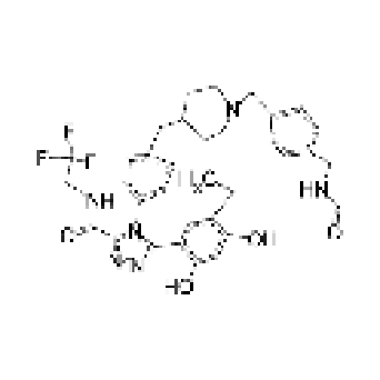 CCc1cc(-c2nnc(C(=O)NCC(F)(F)F)n2-c2ccc(CC3CCN(Cc4ccc(CNC=O)cc4)CC3)cc2)c(O)cc1O